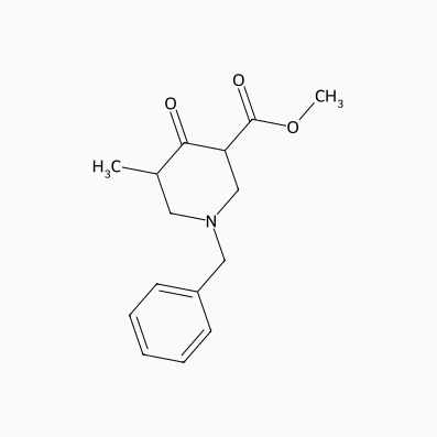 COC(=O)C1CN(Cc2ccccc2)CC(C)C1=O